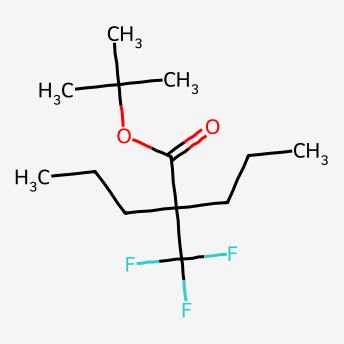 CCCC(CCC)(C(=O)OC(C)(C)C)C(F)(F)F